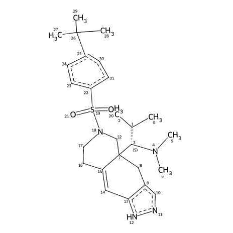 CC(C)[C@H](N(C)C)C12Cc3cn[nH]c3C=C1CCN(S(=O)(=O)c1ccc(C(C)(C)C)cc1)C2